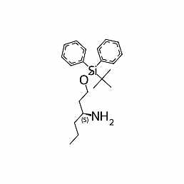 CCC[C@H](N)CCO[Si](c1ccccc1)(c1ccccc1)C(C)(C)C